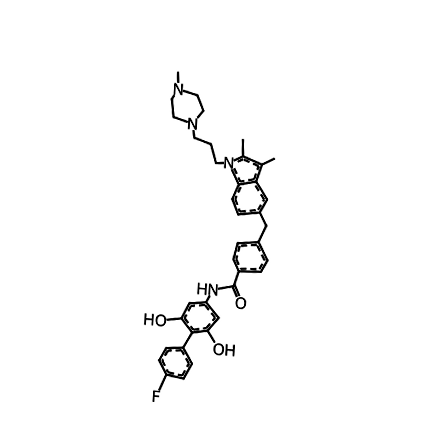 Cc1c(C)n(CCCN2CCN(C)CC2)c2ccc(Cc3ccc(C(=O)Nc4cc(O)c(-c5ccc(F)cc5)c(O)c4)cc3)cc12